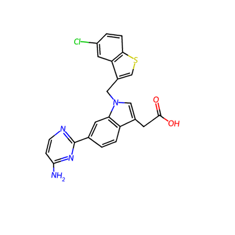 Nc1ccnc(-c2ccc3c(CC(=O)O)cn(Cc4csc5ccc(Cl)cc45)c3c2)n1